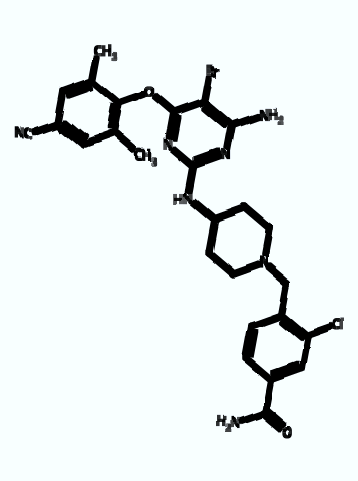 Cc1cc(C#N)cc(C)c1Oc1nc(NC2CCN(Cc3ccc(C(N)=O)cc3Cl)CC2)nc(N)c1Br